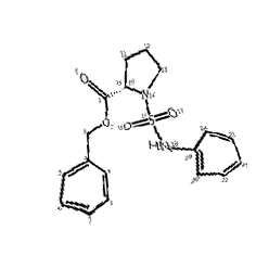 O=C(OCc1ccccc1)[C@@H]1CCCN1S(=O)(=O)Nc1ccccc1